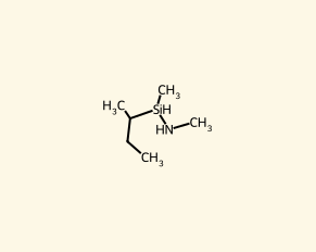 CCC(C)[SiH](C)NC